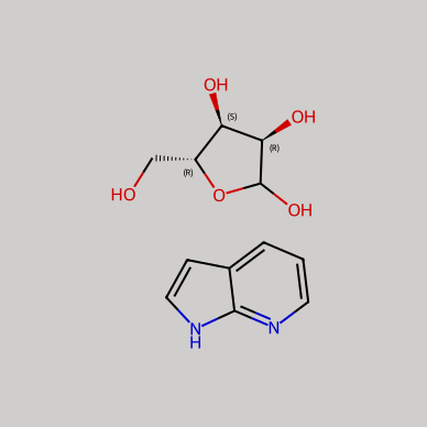 OC[C@H]1OC(O)[C@H](O)[C@@H]1O.c1cnc2[nH]ccc2c1